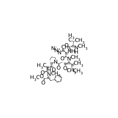 CC[C@H](C)[C@@H]([C@@H](CC(=O)N1CCC[C@H]1[C@H](OC)[C@@H](C)C(=O)N[C@@H](Cc1ccccc1)C(=O)OC)OC)N(C)C(=O)[C@@H](NC(=O)[C@@H](NC)C(C)C)[C@H](C)N=[N+]=[N-]